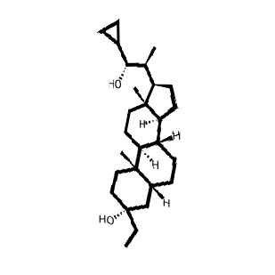 CC[C@@]1(O)CC[C@@]2(C)[C@H](CC[C@@H]3[C@@H]2CC[C@]2(C)[C@@H]([C@H](C)[C@H](O)C4CC4)CC[C@@H]32)C1